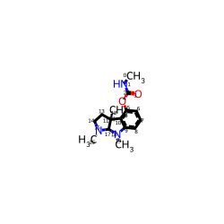 CNC(=O)Oc1cccc2c1[C@@]1(C)CCN(C)C1N2C